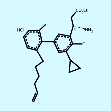 C=CCCCCc1cccc(C)c1-c1cc(C2CC2)c(F)c([C@@H](N)CC(=O)OCC)c1.Cl